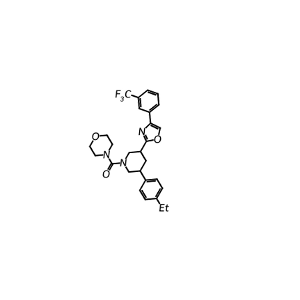 CCc1ccc(C2CC(c3nc(-c4cccc(C(F)(F)F)c4)co3)CN(C(=O)N3CCOCC3)C2)cc1